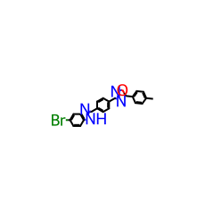 Cc1ccc(-c2nc(-c3ccc(-c4nc5cc(Br)ccc5[nH]4)cc3)no2)cc1